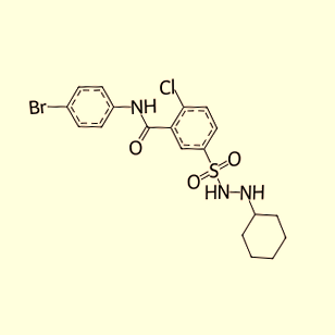 O=C(Nc1ccc(Br)cc1)c1cc(S(=O)(=O)NNC2CCCCC2)ccc1Cl